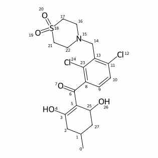 CC1CC(O)=C(C(=O)c2ccc(Cl)c(CN3CCS(=O)(=O)CC3)c2Cl)C(O)C1